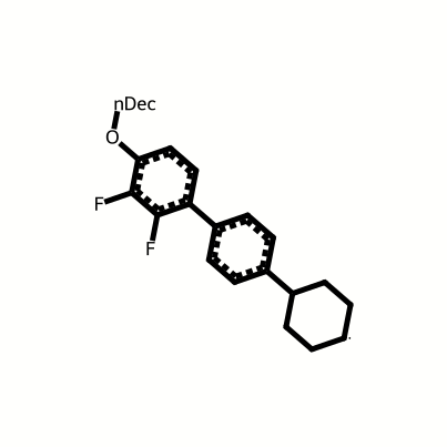 CCCCCCCCCCOc1ccc(-c2ccc(C3CC[CH]CC3)cc2)c(F)c1F